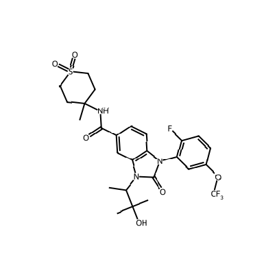 CC(n1c(=O)n(-c2cc(OC(F)(F)F)ccc2F)c2ccc(C(=O)NC3(C)CCS(=O)(=O)CC3)cc21)C(C)(C)O